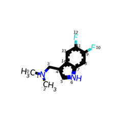 CN(C)Cc1c[nH]c2cc(F)c(F)cc12